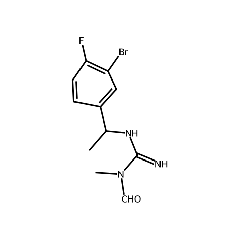 CC(NC(=N)N(C)C=O)c1ccc(F)c(Br)c1